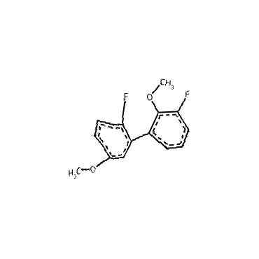 COc1[c]cc(F)c(-c2cccc(F)c2OC)c1